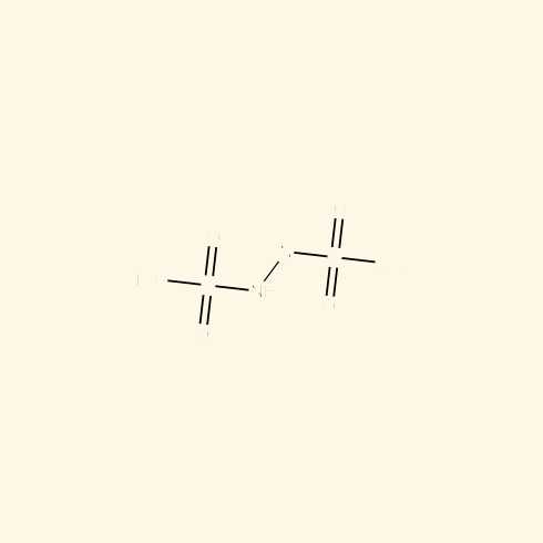 O=S(=O)(NNS(=O)(=O)C(F)(F)F)C(F)(F)F